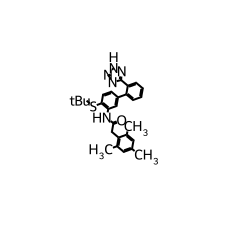 Cc1cc(C)c(CC(=O)Nc2cc(-c3ccccc3-c3nn[nH]n3)ccc2SC(C)(C)C)c(C)c1